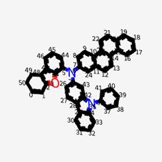 C1=Cc2oc3c(N(c4ccc5c(ccc6c7ccccc7ccc56)c4)c4ccc5c6ccccc6n(-c6ccccc6)c5c4)cccc3c2CC1